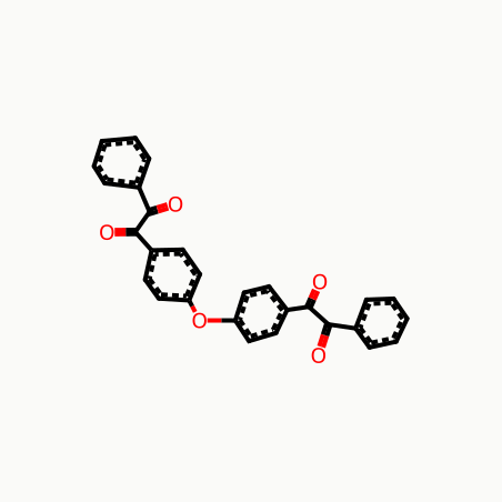 O=C(C(=O)c1ccc(Oc2ccc(C(=O)C(=O)c3ccccc3)cc2)cc1)c1ccccc1